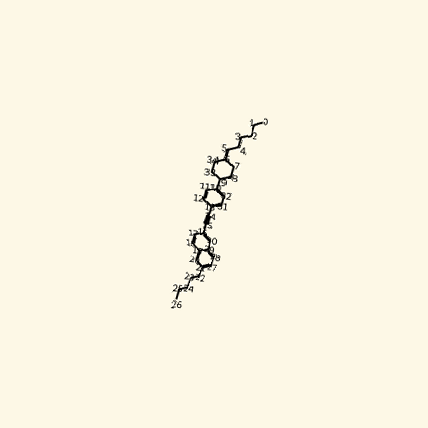 CCCCCCC1CCC(c2ccc(C#Cc3ccc4cc(CCCCC)ccc4c3)cc2)CC1